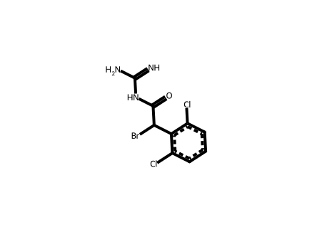 N=C(N)NC(=O)C(Br)c1c(Cl)cccc1Cl